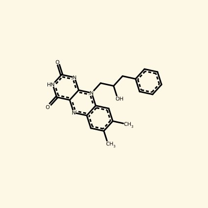 Cc1cc2nc3c(=O)[nH]c(=O)nc-3n(CC(O)Cc3ccccc3)c2cc1C